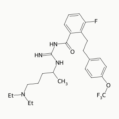 CCN(CC)CCCC(C)NC(=N)NC(=O)c1cccc(F)c1CCc1ccc(OC(F)(F)F)cc1